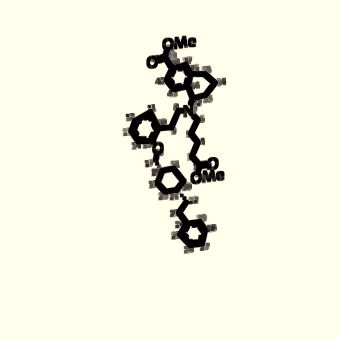 COC(=O)CCCCN(CCc1ccccc1OC[C@H]1CC[C@@H](CCc2ccccc2)CC1)C1CCCc2cc(C(=O)OC)ccc21